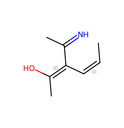 C/C=C\C(C(C)=N)=C(/C)O